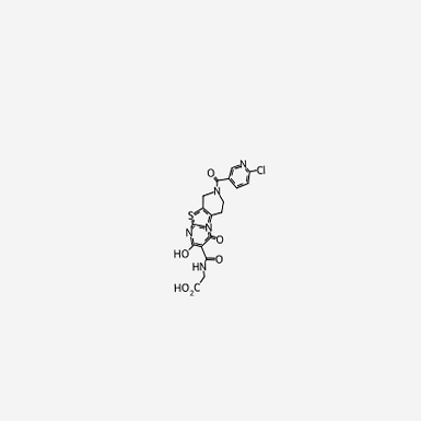 O=C(O)CNC(=O)c1c(O)nc2sc3c(n2c1=O)CCN(C(=O)c1ccc(Cl)nc1)C3